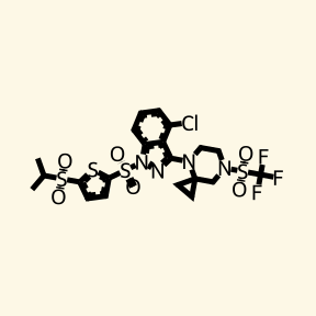 CC(C)S(=O)(=O)c1ccc(S(=O)(=O)n2nc(N3CCN(S(=O)(=O)C(F)(F)F)CC34CC4)c3c(Cl)cccc32)s1